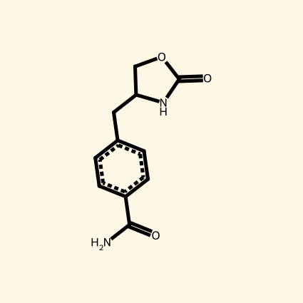 NC(=O)c1ccc(CC2COC(=O)N2)cc1